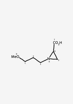 COCCCN1CC1C(=O)O